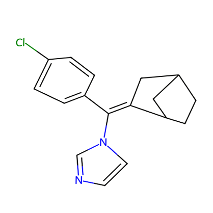 Clc1ccc(C(=C2CC3CCC2C3)n2ccnc2)cc1